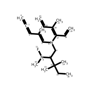 C=C=C/C(C)=C/N(CC(N(C)F)C(C)(C)CC)/C(C=C)=C(/C)C=C